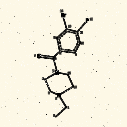 CCN1CCN(C(=O)c2ccc(F)c(Br)c2)CC1